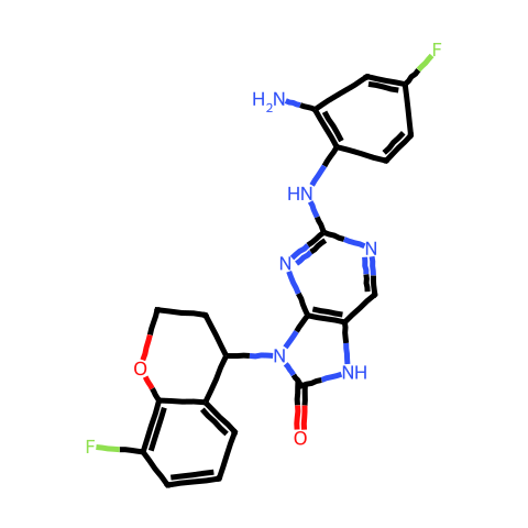 Nc1cc(F)ccc1Nc1ncc2[nH]c(=O)n(C3CCOc4c(F)cccc43)c2n1